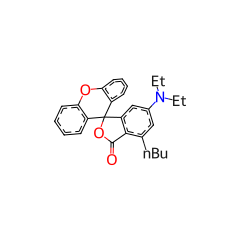 CCCCc1cc(N(CC)CC)cc2c1C(=O)OC21c2ccccc2Oc2ccccc21